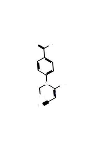 C#C/C=C(/C)N(CC)c1ccc(C(=O)O)cc1